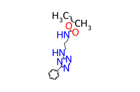 C/C=C(/C)OC(=O)NCCCNc1ncnc(-c2ccccc2)n1